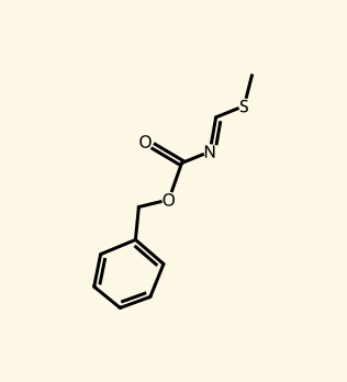 CSC=NC(=O)OCc1ccccc1